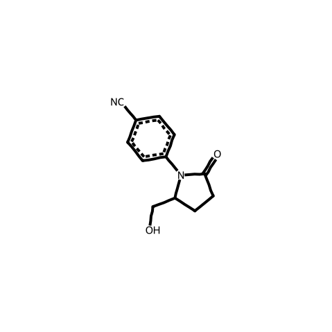 N#Cc1ccc(N2C(=O)CCC2CO)cc1